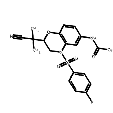 CC(C)(C#N)C1CN(S(=O)(=O)c2ccc(F)cc2)c2cc(NC(=O)O)ccc2O1